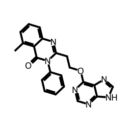 Cc1cccc2nc(CCOc3ncnc4[nH]cnc34)n(-c3ccccc3)c(=O)c12